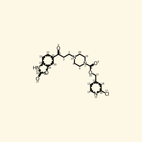 O=C(CCN1CCN(C(=O)OCc2ccnc(Cl)c2)CC1)c1ccc2[nH]c(=O)oc2c1